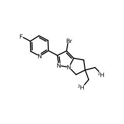 [2H]CC1(C[2H])Cc2c(Br)c(-c3ccc(F)cn3)nn2C1